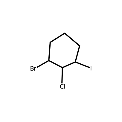 ClC1C(Br)CCCC1I